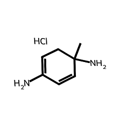 CC1(N)C=CC(N)=CC1.Cl